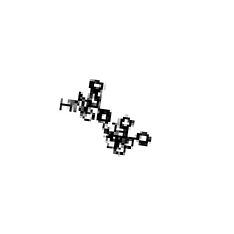 CC(C)(COc1ccc(-c2cn(-c3ccccc3)c3nc[nH]c(=O)c23)cc1)OP(=O)(OCc1ccccc1)OCc1ccccc1